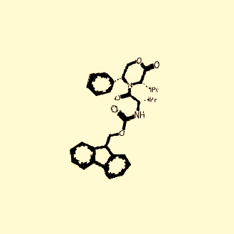 CC(C)[C@H](NC(=O)OCC1c2ccccc2-c2ccccc21)C(=O)N1[C@@H](C(C)C)C(=O)OC[C@H]1c1ccccc1